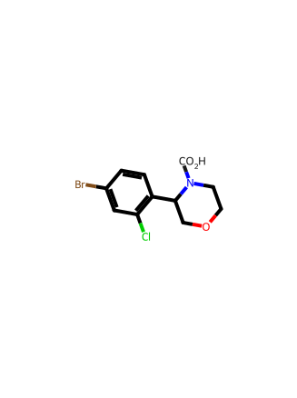 O=C(O)N1CCOCC1c1ccc(Br)cc1Cl